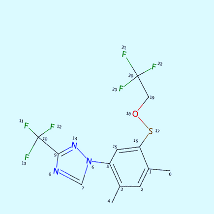 Cc1cc(C)c(-n2cnc(C(F)(F)F)n2)cc1SOCC(F)(F)F